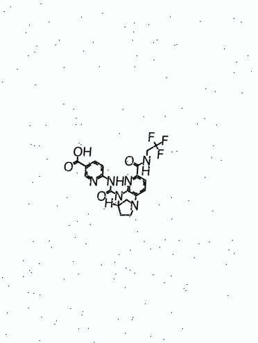 O=C(O)c1ccc(NC(=O)N2c3nc(C(=O)NCC(F)(F)F)ccc3N3CC[C@H]2C3)nc1